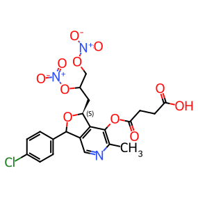 Cc1ncc2c(c1OC(=O)CCC(=O)O)[C@H](CC(CO[N+](=O)[O-])O[N+](=O)[O-])OC2c1ccc(Cl)cc1